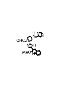 COc1nc2ccccc2cc1-c1cnc([C@@H]2C[C@@H](NCc3cnccn3)CCN2CC=O)[nH]1